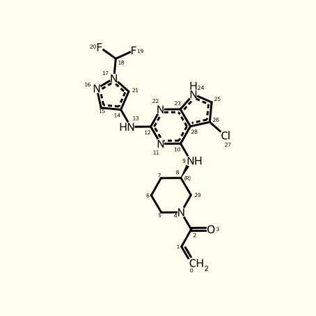 C=CC(=O)N1CCC[C@@H](Nc2nc(Nc3cnn(C(F)F)c3)nc3[nH]cc(Cl)c23)C1